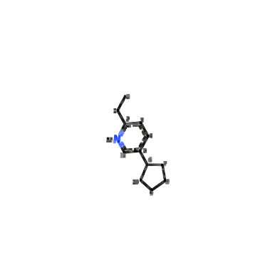 CCc1ccc(C2CCCC2)cn1